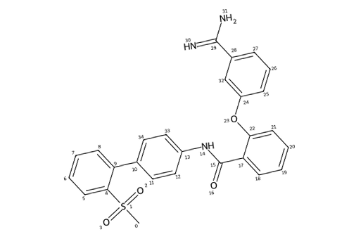 CS(=O)(=O)c1ccccc1-c1ccc(NC(=O)c2ccccc2Oc2cccc(C(=N)N)c2)cc1